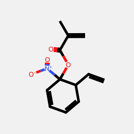 C=CC1C=CC=CC1(OC(=O)C(=C)C)[N+](=O)[O-]